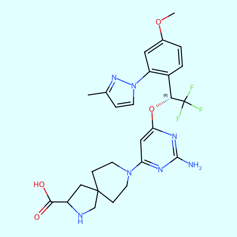 COc1ccc([C@@H](Oc2cc(N3CCC4(CC3)CNC(C(=O)O)C4)nc(N)n2)C(F)(F)F)c(-n2ccc(C)n2)c1